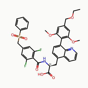 CCOCc1cc(OC)c(-c2ccc(C[C@H](NC(=O)c3c(F)cc(CS(=O)(=O)c4ccccc4)cc3F)C(=O)O)c3cccnc23)c(OC)c1